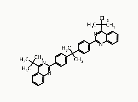 CC(C)(C)c1nc(-c2ccc(C(C)(C)c3ccc(-c4nc(C(C)(C)C)c5ccccc5n4)cc3)cc2)nc2ccccc12